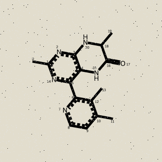 Cc1nc2c(c(-c3nccc(C)c3C)n1)NC(=O)C(C)N2